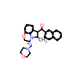 CC1C(C(=O)c2ccc3ccccc3c2)c2cccc3c2N1[C@H](CN1CCOCC1)CO3